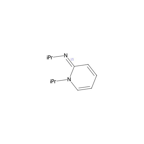 CC(C)/N=c1/ccccn1C(C)C